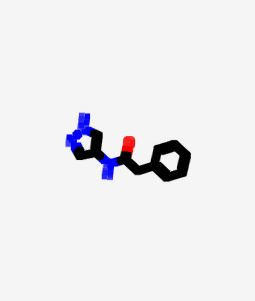 O=C(Cc1ccccc1)Nc1cn[nH]c1